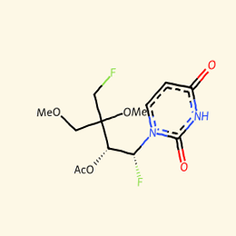 COCC(CF)(OC)[C@@H](OC(C)=O)[C@@H](F)n1ccc(=O)[nH]c1=O